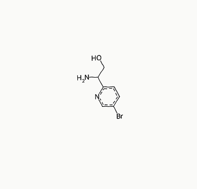 NC(CO)c1ccc(Br)cn1